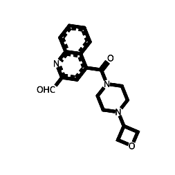 O=Cc1cc(C(=O)N2CCN(C3COC3)CC2)c2ccccc2n1